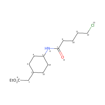 CCOC(=O)CC1CCC(NC(=O)CCCCCl)CC1